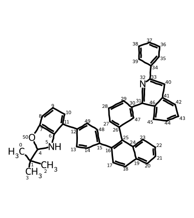 CC(C)(C)C1Nc2c(cccc2-c2ccc(-c3ccc4ccccc4c3-c3cccc(-c4nc(-c5ccccc5)cc5ccccc45)c3)cc2)O1